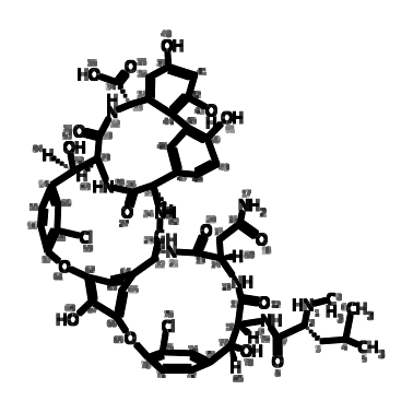 CN[C@H](CC(C)C)C(=O)N[C@H]1C(=O)N[C@@H](CC(N)=O)C(=O)N[C@H]2CN[C@H]3C(=O)N[C@H](C(=O)N[C@H](C(=O)O)c4cc(O)cc(O)c4-c4cc3ccc4O)[C@H](O)c3ccc(c(Cl)c3)Oc3cc2cc(c3O)Oc2ccc(cc2Cl)[C@H]1O